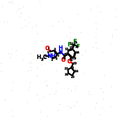 CN/C=C\C(=C/C=O)NC(=O)c1cc(C(F)(F)F)ccc1OCC1CCCC1